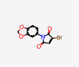 O=C1C=C(Br)C(=O)N1c1ccc2c(c1)OCO2